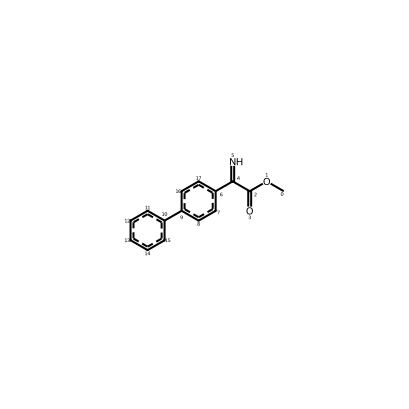 COC(=O)C(=N)c1ccc(-c2ccccc2)cc1